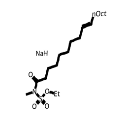 CCCCCCCCC=CCCCCCCCC(=O)N(C)S(=O)(=O)OCC.[NaH]